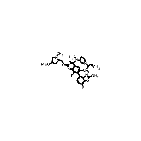 C=CC(=O)N1CCC(N(C)c2nc(OCC3CC(OC)CN3C)nc3c(F)c(-c4ccc(F)c5sc(N)nc45)c(C(F)(F)F)cc23)C1